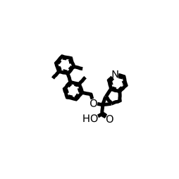 Cc1cccc(C)c1-c1cccc(COC2(C(=O)O)C3Cc4ccncc4C32)c1C